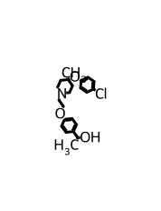 CC(O)c1ccc(OCCN2CCC(C)(Oc3ccc(Cl)cc3)CC2)cc1